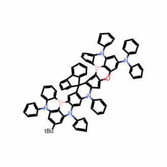 CC(C)(C)c1cc2c3c(c1)N(c1ccccc1)c1cc4c(cc1B3c1ccccc1N2c1ccccc1)C1(c2ccccc2-c2ccccc21)c1cc2c(cc1N4c1ccccc1)Oc1cc(N(c3ccccc3)c3ccccc3)cc3c1B2c1ccccc1N3c1ccccc1